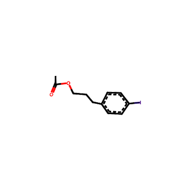 CC(=O)OCCCc1ccc(I)cc1